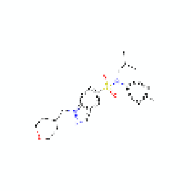 Cc1ccc(N(CC(C)C)S(=O)(=O)c2ccc3c(cnn3CC3CCOCC3)c2)cc1